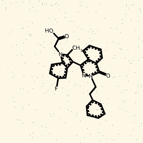 Cc1c(-c2nn(CCc3ccccc3)c(=O)c3ccccc23)c2cc(F)ccc2n1CC(=O)O